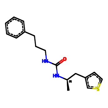 C[C@H](Cc1ccsc1)NC(=O)NCCCc1ccccc1